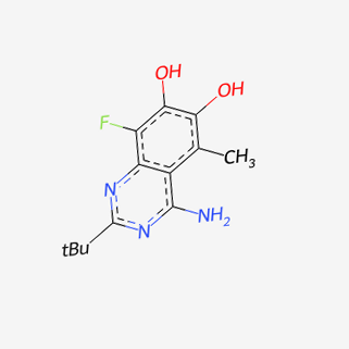 Cc1c(O)c(O)c(F)c2nc(C(C)(C)C)nc(N)c12